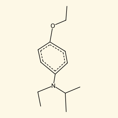 CCOc1ccc(N(CC)C(C)C)cc1